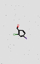 O=Cc1ccc(I)cc1Cl